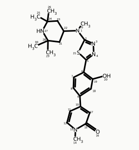 CN(c1nnc(-c2ccc(-c3ccn(C)c(=O)c3)cc2O)s1)C1CC(C)(C)NC(C)(C)C1